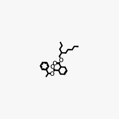 CCCCCC(CCC)COC(=O)C1CC=CCC1C(=O)OC(C)c1ccccc1